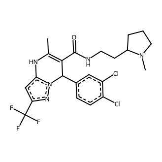 CC1=C(C(=O)NCCC2CCCN2C)C(c2ccc(Cl)c(Cl)c2)n2nc(C(F)(F)F)cc2N1